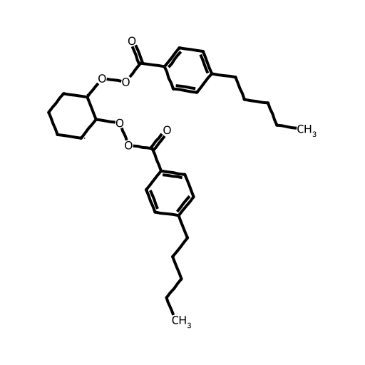 CCCCCc1ccc(C(=O)OO[C]2CCC[CH]C2OOC(=O)c2ccc(CCCCC)cc2)cc1